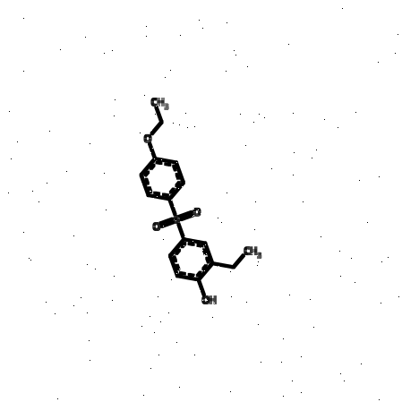 CCOc1ccc(S(=O)(=O)c2ccc(O)c(CC)c2)cc1